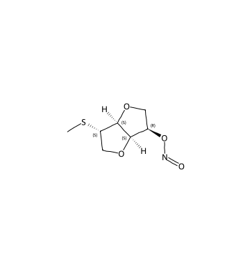 CS[C@H]1CO[C@H]2[C@@H]1OC[C@H]2ON=O